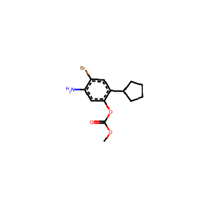 COC(=O)Oc1cc(N)c(Br)cc1C1CCCC1